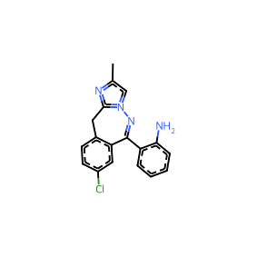 Cc1cn2c(n1)Cc1ccc(Cl)cc1C(c1ccccc1N)=N2